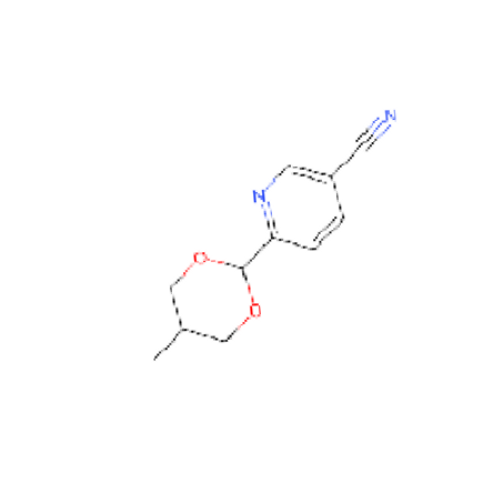 CC1COC(c2ccc(C#N)cn2)OC1